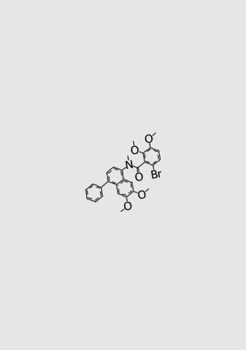 COc1cc2c(-c3ccccc3)ccc(N(C)C(=O)c3c(Br)ccc(OC)c3OC)c2cc1OC